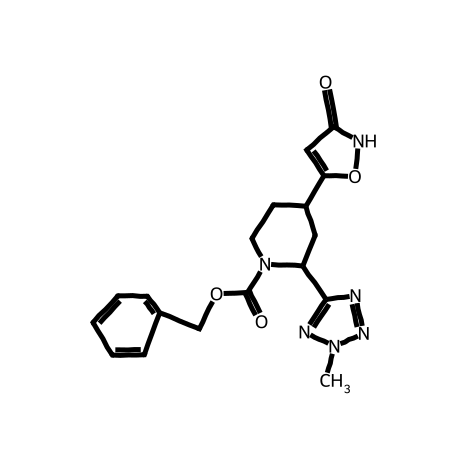 Cn1nnc(C2CC(c3cc(=O)[nH]o3)CCN2C(=O)OCc2ccccc2)n1